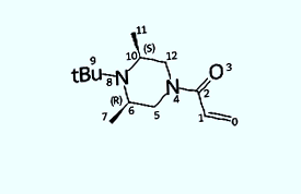 C=CC(=O)N1C[C@@H](C)N(C(C)(C)C)[C@@H](C)C1